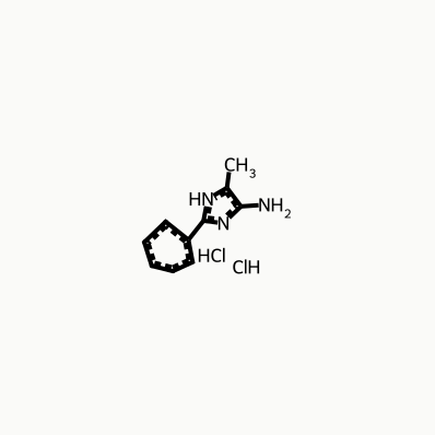 Cc1[nH]c(-c2ccccc2)nc1N.Cl.Cl